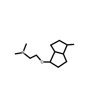 CC1CCC2C(OCCN(C)C)CCC12